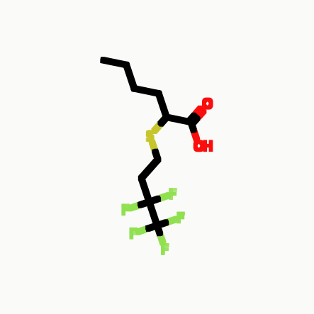 CCCCC(SCCC(F)(F)C(F)(F)F)C(=O)O